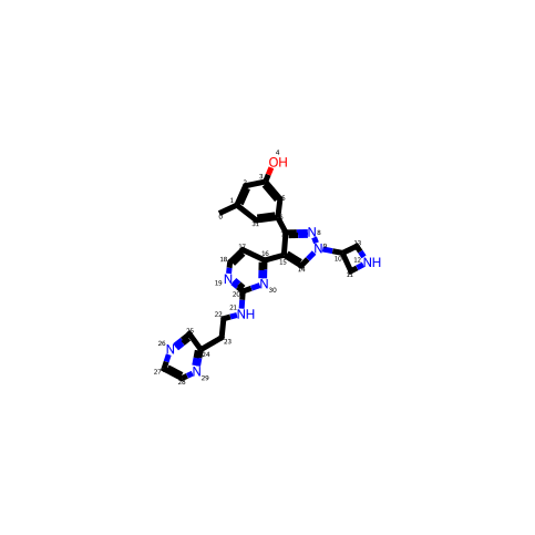 Cc1cc(O)cc(-c2nn(C3CNC3)cc2-c2ccnc(NCCc3cnccn3)n2)c1